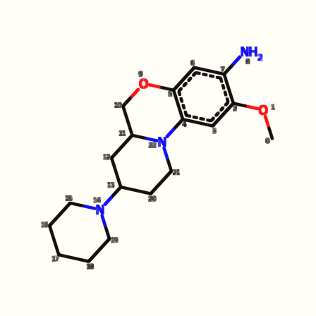 COc1cc2c(cc1N)OCC1CC(N3CCCCC3)CCN21